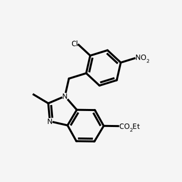 CCOC(=O)c1ccc2nc(C)n(Cc3ccc([N+](=O)[O-])cc3Cl)c2c1